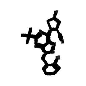 CC(C)(C)c1nc(N2C[C@@H](F)C[C@H]2C#N)c2nnn(Cc3ccccc3Cl)c2n1